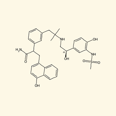 CC(C)(Cc1cccc(C(Cc2ccc(O)c3ccccc23)C(N)=O)c1)NC[C@H](O)c1ccc(O)c(NS(C)(=O)=O)c1